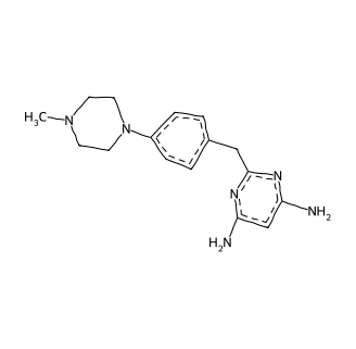 CN1CCN(c2ccc(Cc3nc(N)cc(N)n3)cc2)CC1